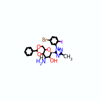 Cc1nc([C@@H]2OC3COC(c4ccccc4)O[C@@H]3C(N)C2O)n(-c2cc(Br)ccc2I)n1